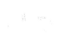 CC(C)(C)[Si](OC1CCC(=O)NC1)(c1ccccc1)c1ccccc1